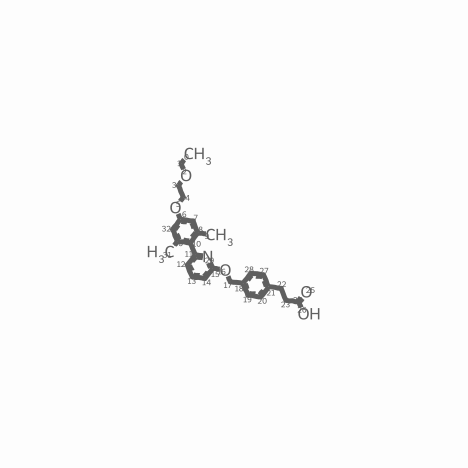 CCOCCOc1cc(C)c(-c2cccc(OCc3ccc(CCC(=O)O)cc3)n2)c(C)c1